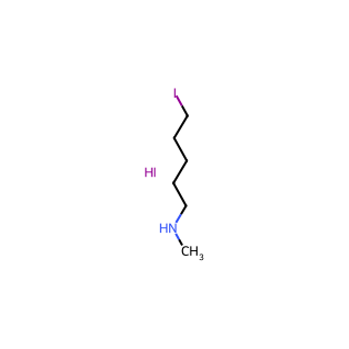 CNCCCCCI.I